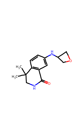 CC1(C)CNC(=O)c2cc(NC3COC3)ccc21